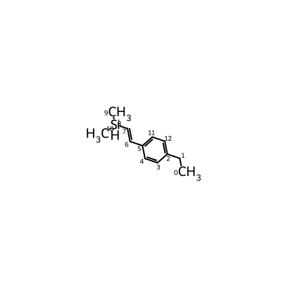 CCc1ccc(C=C[SiH](C)C)cc1